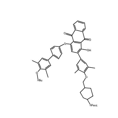 CCCCCC1CCC(COc2c(C)cc(-c3cc(Sc4ccc(-c5cc(C)c(OCCCC)c(C)c5)cc4)c4c(c3O)C(=O)c3ccccc3C4=O)cc2C)CC1